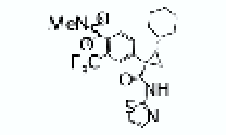 CNS(=O)(=O)c1ccc([C@@]2(C(=O)Nc3nccs3)C[C@H]2C2CCCCC2)cc1C(F)(F)F